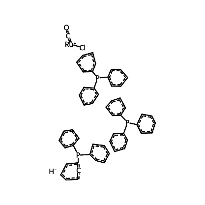 O=[C]=[Ru+][Cl].[H-].c1ccc(P(c2ccccc2)c2ccccc2)cc1.c1ccc(P(c2ccccc2)c2ccccc2)cc1.c1ccc(P(c2ccccc2)c2ccccc2)cc1